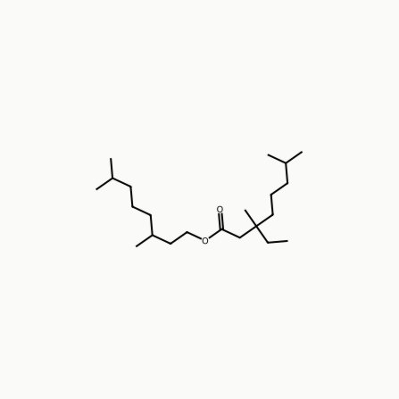 CCC(C)(CCCC(C)C)CC(=O)OCCC(C)CCCC(C)C